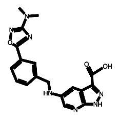 CN(C)c1noc(-c2cccc(CNc3cnc4[nH]nc(C(=O)O)c4c3)c2)n1